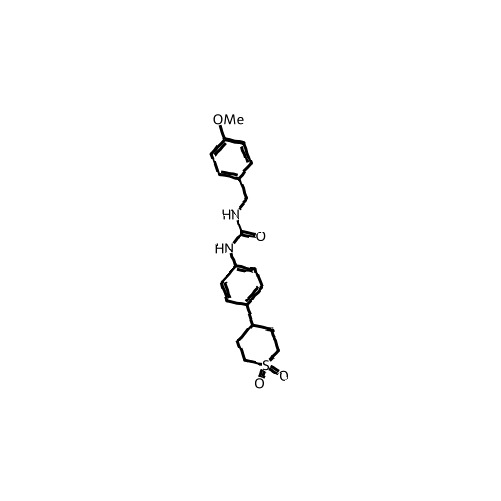 COc1ccc(CNC(=O)Nc2ccc(C3CCS(=O)(=O)CC3)cc2)cc1